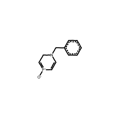 [O-][P+]1=CCN(Cc2ccccc2)C=C1